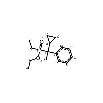 CCOP(=O)(CC)C(C)(c1ccccc1)C1CC1